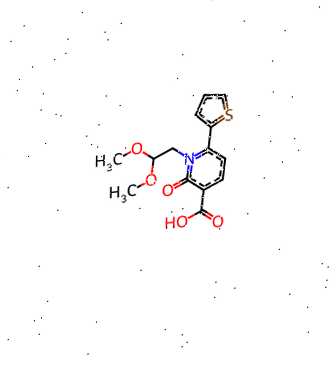 COC(Cn1c(-c2cccs2)ccc(C(=O)O)c1=O)OC